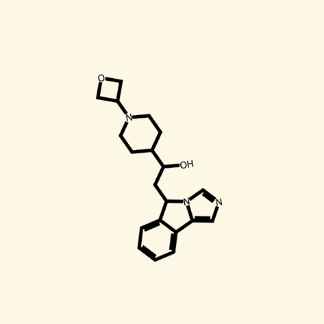 OC(CC1c2ccccc2-c2cncn21)C1CCN(C2COC2)CC1